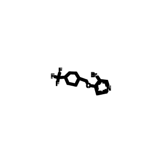 FC(F)(F)C1CCC(COc2ccncc2Br)CC1